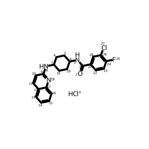 Cl.O=C(NC1CCC(Nc2ccc3ccccc3n2)CC1)c1ccc(F)c(Cl)c1